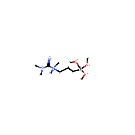 CO[Si](CCC[N+](C)(C)C(=N)N(C)C)(OC)OC